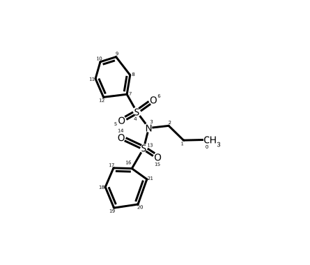 CCCN(S(=O)(=O)c1ccccc1)S(=O)(=O)c1ccccc1